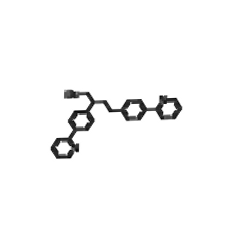 CCC(C)CC(CCc1ccc(-c2ccccn2)cc1)c1ccc(-c2ccccn2)cc1